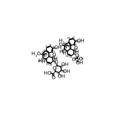 CN1CC[C@]23c4c5ccc(O)c4O[C@H]2[C@@H](OC2O[C@H](C(=O)O)[C@@H](O)[C@H](O)[C@H]2O)C=C[C@H]3[C@H]1C5.CN1CC[C@]23c4c5ccc(O)c4O[C@H]2[C@@H](OS(=O)(=O)O)C=C[C@H]3[C@H]1C5